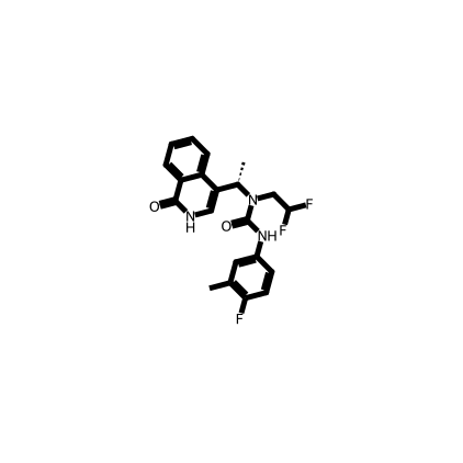 Cc1cc(NC(=O)N(CC(F)F)[C@@H](C)c2c[nH]c(=O)c3ccccc23)ccc1F